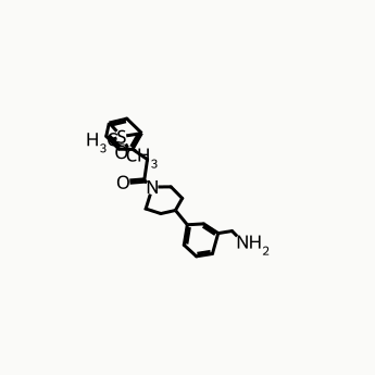 CS1(C)(=O)c2ccc(CC(=O)N3CCC(c4cccc(CN)c4)CC3)c1c2